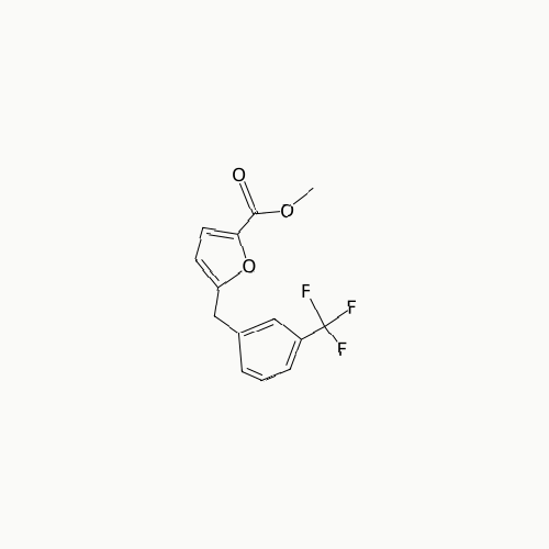 COC(=O)c1ccc(Cc2cccc(C(F)(F)F)c2)o1